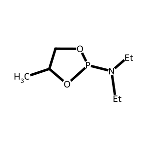 CCN(CC)P1OCC(C)O1